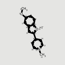 COc1ccc2oc(-c3cc[n+](C)cc3)cc2c1.[I-]